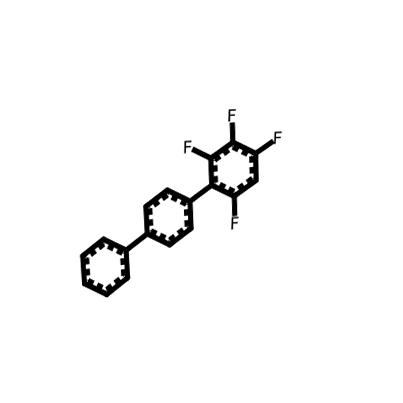 Fc1cc(F)c(-c2ccc(-c3ccccc3)cc2)c(F)c1F